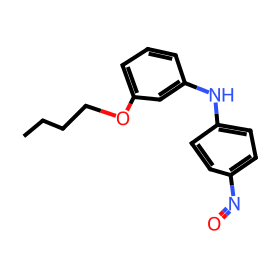 CCCCOc1cccc(Nc2ccc(N=O)cc2)c1